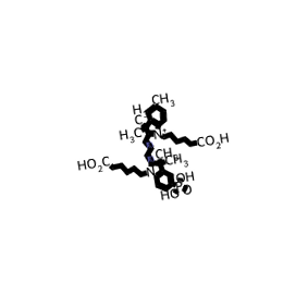 Cc1ccc2c(c1)C(C)(C)C(/C=C/C=C1/N(CCCCCC(=O)O)c3ccc(P(=O)(O)O)cc3C1(C)C)=[N+]2CCCCCC(=O)O